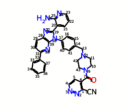 N#Cc1nnccc1C(=O)N1CCN(Cc2ccc(-n3c(-c4cccnc4N)nc4ccc(-c5ccccc5)nc43)cc2)CC1